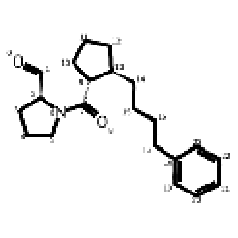 O=C[C@@H]1CCCN1C(=O)[C@@H]1CCC[C@H]1CCCCc1ccccc1